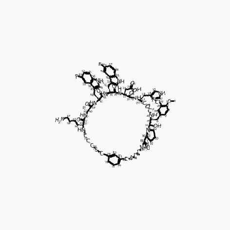 COc1ccc(C[C@@H]2NCOC[C@H](Cc3c[nH]cn3)NC(=O)[C@H](CC(=O)O)NC(=O)[C@H](Cc3c[nH]c4ccc(F)cc34)NC(=O)[C@H](Cc3c[nH]c4ccc(F)cc34)NC(=O)[C@@H](C)NC(=O)[C@H](CCCCN)NCCCSCc3cccc(c3)CSCCNC(=O)[C@]3(C)CCCN3C2O)cc1Cl